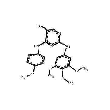 COc1ccc(Nc2nc(Nc3cc(OC)c(OC)c(OC)c3)ncc2Br)cn1